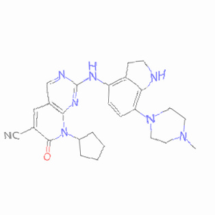 CN1CCN(c2ccc(Nc3ncc4cc(C#N)c(=O)n(C5CCCC5)c4n3)c3c2NCC3)CC1